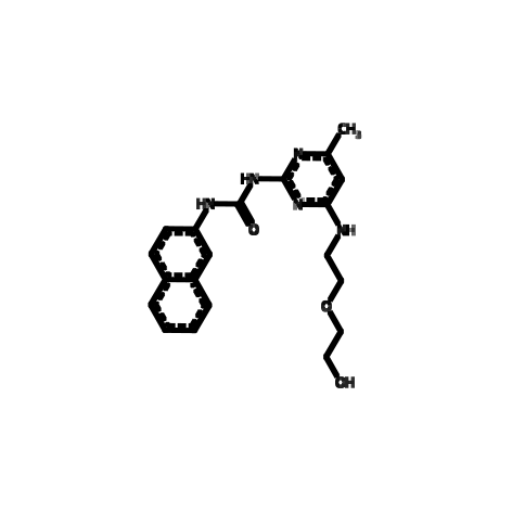 Cc1cc(NCCOCCO)nc(NC(=O)Nc2ccc3ccccc3c2)n1